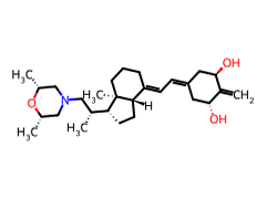 C=C1[C@H](O)CC(=C/C=C2\CCC[C@]3(C)[C@@H]([C@H](C)CN4C[C@@H](C)O[C@@H](C)C4)CC[C@@H]23)C[C@H]1O